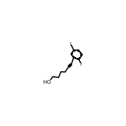 OCCCCC#Cc1cc(I)ccc1I